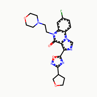 O=c1c2c(-c3nc(C4CCOC4)no3)ncn2c2ccc(F)cc2n1CCN1CCOCC1